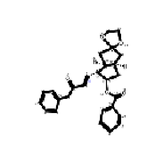 O=C(/C=C/[C@@H]1[C@H]2CC3(C[C@H]2C[C@H]1OC(=O)c1ccccc1)OCCO3)Cc1ccccc1